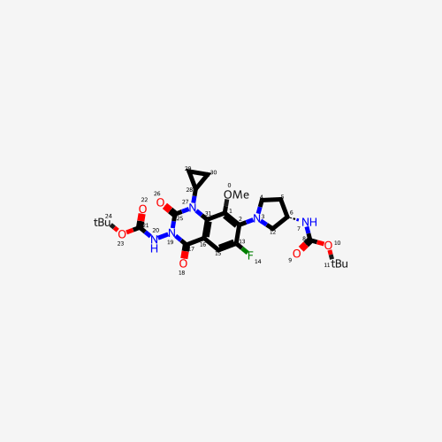 COc1c(N2CC[C@H](NC(=O)OC(C)(C)C)C2)c(F)cc2c(=O)n(NC(=O)OC(C)(C)C)c(=O)n(C3CC3)c12